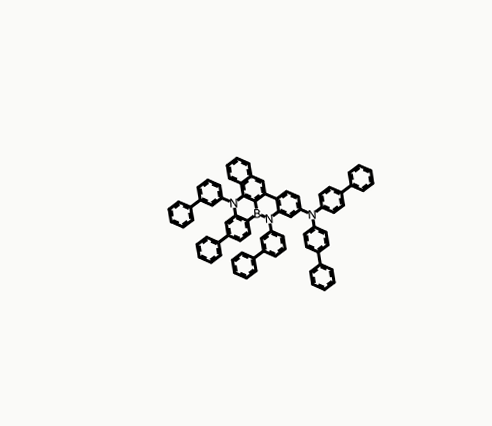 c1ccc(-c2ccc(N(c3ccc(-c4ccccc4)cc3)c3ccc4c(c3)N(c3cccc(-c5ccccc5)c3)B3c5ccc(-c6ccccc6)cc5N(c5cccc(-c6ccccc6)c5)c5c3c-4cc3ccccc53)cc2)cc1